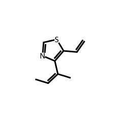 C=Cc1scnc1/C(C)=C\C